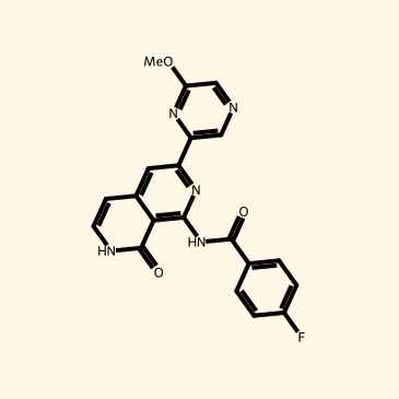 COc1cncc(-c2cc3cc[nH]c(=O)c3c(NC(=O)c3ccc(F)cc3)n2)n1